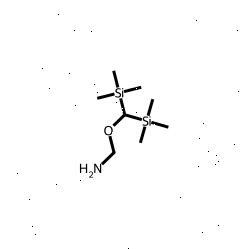 C[Si](C)(C)C(OCN)[Si](C)(C)C